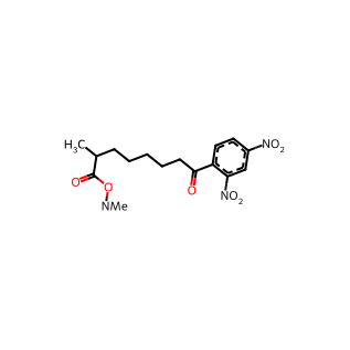 CNOC(=O)C(C)CCCCCC(=O)c1ccc([N+](=O)[O-])cc1[N+](=O)[O-]